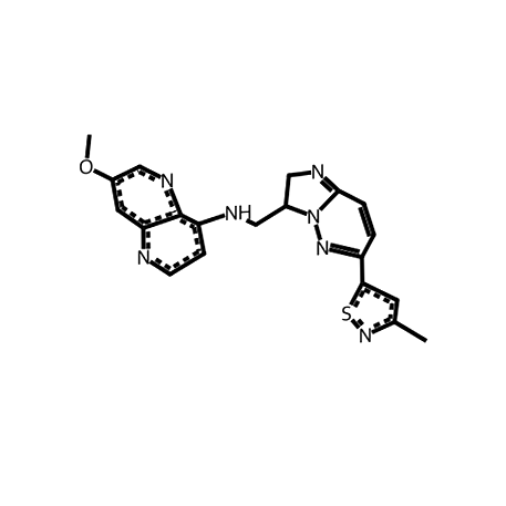 COc1cnc2c(NCC3CN=C4C=CC(c5cc(C)ns5)=NN43)ccnc2c1